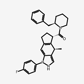 C[C@H]1C2=CNN(c3ccc(F)cc3)C2=CC2=C1[C@@H](C(=O)N1CCCC[C@@H]1Cc1ccccc1)CC2